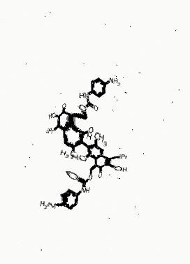 Cc1cc2c(c(O)c1-c1c(C)cc3c(c1O)/C(=C/OC(=O)Nc1ccc(N)cc1)C(=O)C(O)=C3C(C)C)/C(=C/OC(=O)Nc1ccc(N)cc1)C(=O)C(O)=C2C(C)C